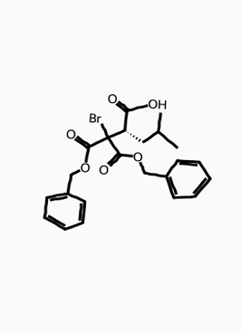 CC(C)C[C@@H](C(=O)O)C(Br)(C(=O)OCc1ccccc1)C(=O)OCc1ccccc1